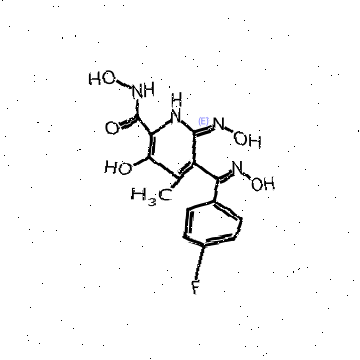 Cc1c(O)c(C(=O)NO)[nH]/c(=N/O)c1C(=NO)c1ccc(F)cc1